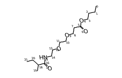 CCCCOC(=O)CCOCCOCCNC(=O)C(C)CC